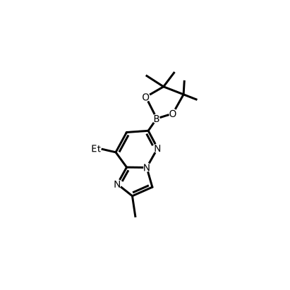 CCc1cc(B2OC(C)(C)C(C)(C)O2)nn2cc(C)nc12